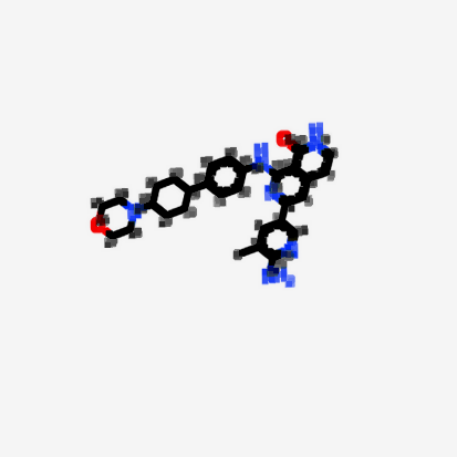 Cc1cc(-c2cc3cc[nH]c(=O)c3c(Nc3ccc(C4CCC(N5CCOCC5)CC4)cc3)n2)cnc1N